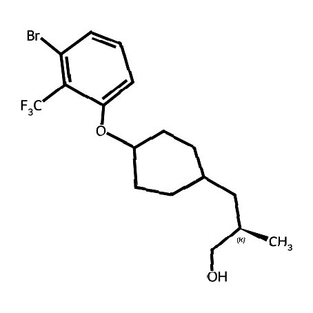 C[C@@H](CO)CC1CCC(Oc2cccc(Br)c2C(F)(F)F)CC1